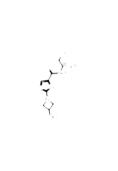 CC(C)[C@@H](CO)NC(=O)c1csc(N2CC(O)C2)n1